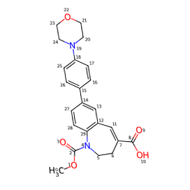 COC(=O)N1CCC(C(=O)O)=Cc2cc(-c3ccc(N4CCOCC4)cc3)ccc21